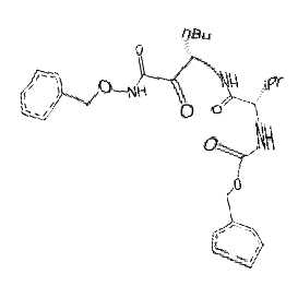 CCCC[C@H](NC(=O)[C@@H](NC(=O)OCc1ccccc1)C(C)C)C(=O)C(=O)NOCc1ccccc1